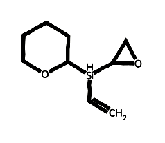 C=C[SiH](C1CCCCO1)C1CO1